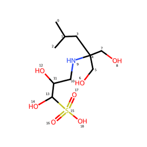 CC(C)CC(CO)(CO)NCC(O)C(O)S(=O)(=O)O